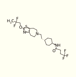 CC(F)(F)COc1nc2c(s1)CCN(CC[C@H]1CC[C@H](NC(=O)CCC(F)(F)F)CC1)CC2